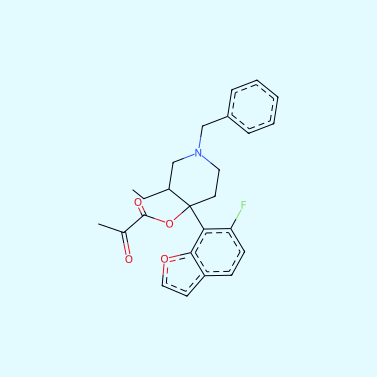 CCC1CN(Cc2ccccc2)CCC1(OC(=O)C(C)=O)c1c(F)ccc2ccoc12